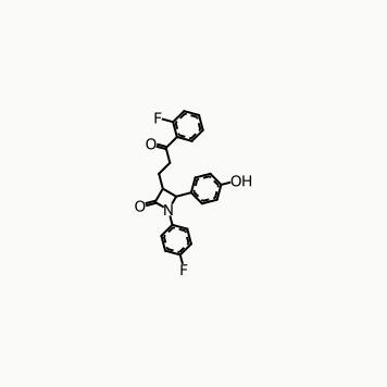 O=C(CCC1C(=O)N(c2ccc(F)cc2)C1c1ccc(O)cc1)c1ccccc1F